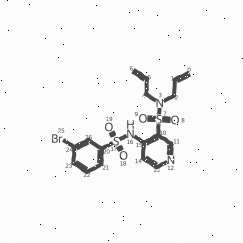 C=CCN(CC=C)S(=O)(=O)c1cnccc1NS(=O)(=O)c1cccc(Br)c1